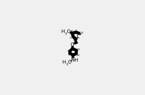 CNc1ccc(OCc2cccc(C)c2)cc1